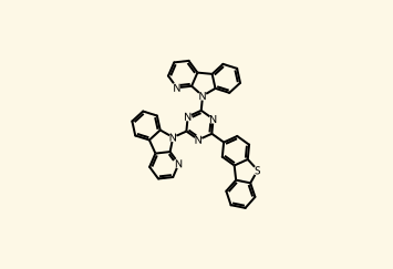 c1ccc2c(c1)sc1ccc(-c3nc(-n4c5ccccc5c5cccnc54)nc(-n4c5ccccc5c5cccnc54)n3)cc12